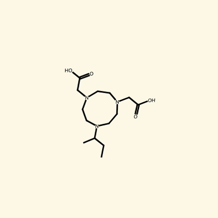 CCC(C)N1CCN(CC(=O)O)CCN(CC(=O)O)CC1